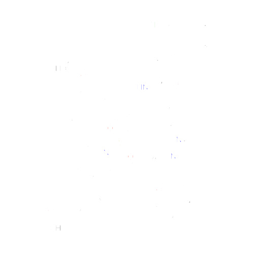 COc1ccc(CN(Cc2ccc(OC)cc2)S(=O)(=O)c2cc(NC(=O)Cc3ccccc3Cl)cc3nn(CC4CCCO4)cc23)cc1